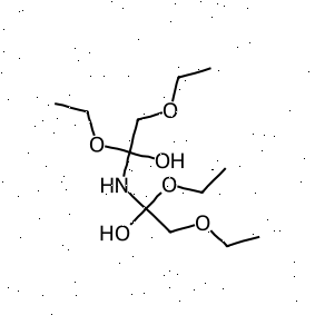 CCOCC(O)(NC(O)(COCC)OCC)OCC